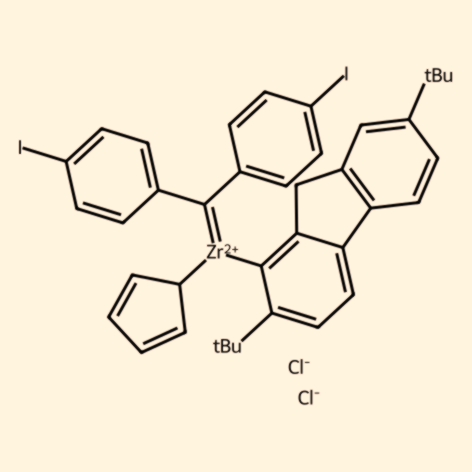 CC(C)(C)c1ccc2c(c1)Cc1c-2ccc(C(C)(C)C)[c]1[Zr+2](=[C](c1ccc(I)cc1)c1ccc(I)cc1)[CH]1C=CC=C1.[Cl-].[Cl-]